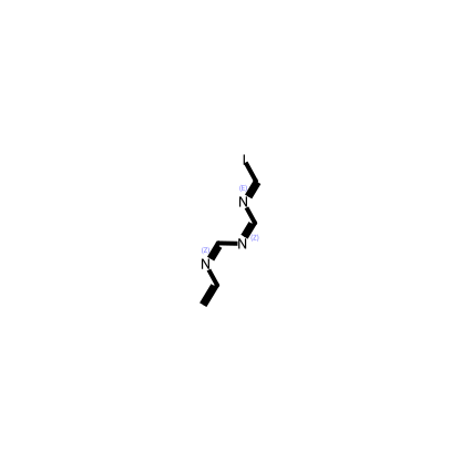 C=C\N=C/N=C\N=C\I